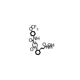 O=C(C=Cc1ccccc1N1CCN(C(=O)Nc2ccc(OC(F)(F)F)cc2)CC1=O)NO